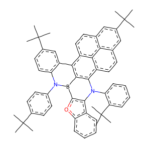 CC(C)(C)c1ccc(N2B3c4oc5ccccc5c4N(c4ccccc4C(C)(C)C)c4c3c(c3ccc5cc(C(C)(C)C)cc6ccc4c3c56)-c3cc(C(C)(C)C)ccc32)cc1